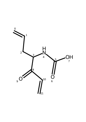 C=CCC(NC(=O)O)C(=O)C=C